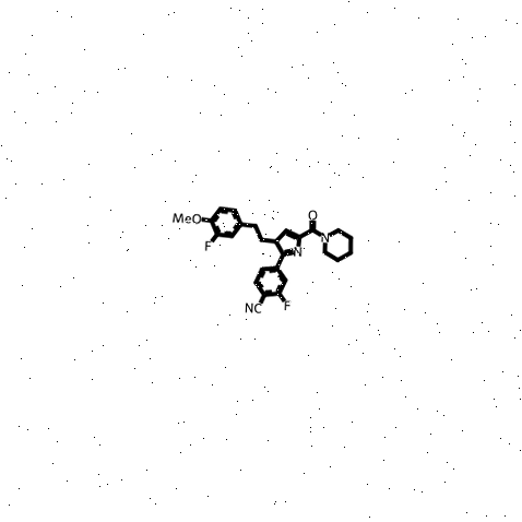 COc1ccc(CCC2C=C(C(=O)N3CCCCC3)N=C2c2ccc(C#N)c(F)c2)cc1F